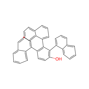 Oc1ccc(-c2cccc3ccccc23)c(-c2cccc3ccccc23)c1-c1cccc2ccccc12